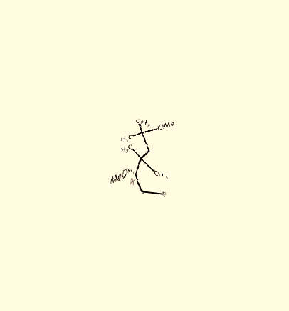 CO[C@@H](CF)C(C)(C)CC(C)(C)OC